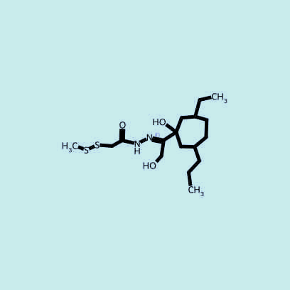 CCCC1CCC(CC)CC(O)(/C(CO)=N/NC(=O)CSSC)C1